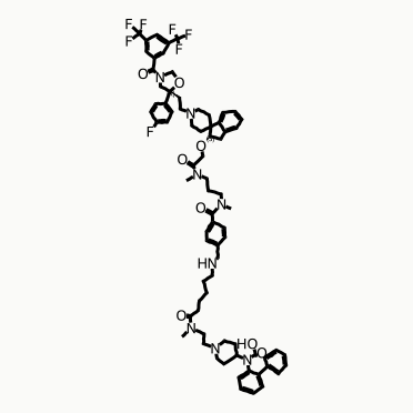 CN(CCN1CCC(N(C(=O)O)c2ccccc2-c2ccccc2)CC1)C(=O)CCCCCNCc1ccc(C(=O)N(C)CCCN(C)C(=O)CO[C@H]2Cc3ccccc3C23CCN(CC[C@@]2(c4ccc(F)cc4)CN(C(=O)c4cc(C(F)(F)F)cc(C(F)(F)F)c4)CO2)CC3)cc1